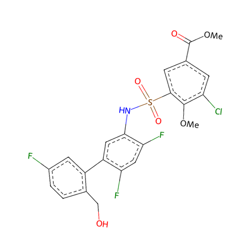 COC(=O)c1cc(Cl)c(OC)c(S(=O)(=O)Nc2cc(-c3cc(F)ccc3CO)c(F)cc2F)c1